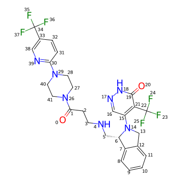 O=C(CCNC[C@H]1c2ccccc2CN1c1cn[nH]c(=O)c1C(F)(F)F)N1CCN(c2ccc(C(F)(F)F)cn2)CC1